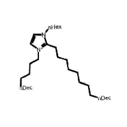 CCCCCCCCCCCCCCCCCCc1n(CCCCCC)cc[n+]1CCCCCCCCCCCCCC